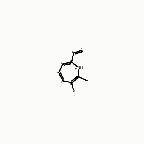 C=CC1=CC=CC(F)=C(C)N1